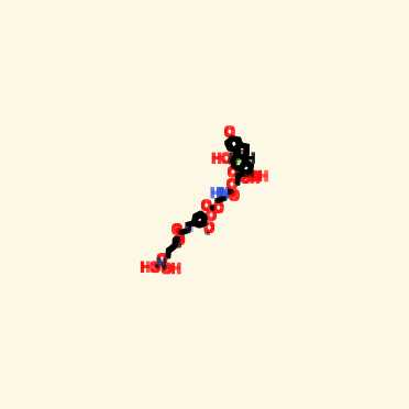 COc1cc(/C=C/C(=O)OCCCCON(O)O)ccc1OC(=O)OCCNC(=O)OCC(=O)C1(O)[C@H](O)C[C@H]2[C@@H]3CCC4=CC(=O)C=C[C@]4(C)[C@@]3(F)[C@@H](O)C[C@@]21C